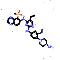 C=Cc1cnc(Nc2ccc(N3CCC(N)CC3)c(CC)c2)nc1Nc1ccc2nccnc2c1P(C)(C)=O